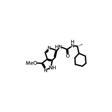 COc1n[nH]c2cc(NC(=O)N[C@H](C)C3CCCCC3)ncc12